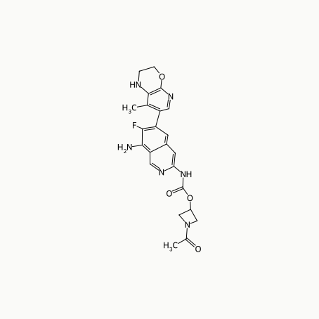 CC(=O)N1CC(OC(=O)Nc2cc3cc(-c4cnc5c(c4C)NCCO5)c(F)c(N)c3cn2)C1